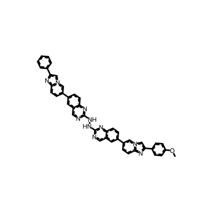 COc1ccc(-c2cn3cc(-c4ccc5nc(NNc6ncc7cc(-c8ccc9nc(-c%10ccccc%10)cn9c8)ccc7n6)ncc5c4)ccc3n2)cc1